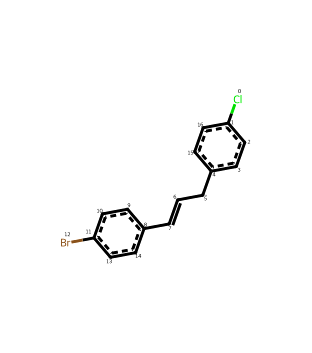 Clc1ccc([CH]/C=C/c2ccc(Br)cc2)cc1